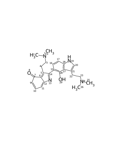 CN(C)CCC1=C2C(=O)C=CC=C2N=C1c1ccc2[nH]cc(CCN(C)C)c2c1O